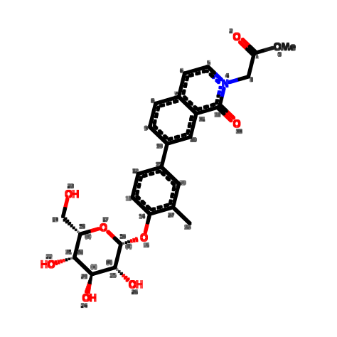 COC(=O)Cn1ccc2ccc(-c3ccc(O[C@H]4O[C@@H](CO)[C@@H](O)[C@H](O)[C@H]4O)c(C)c3)cc2c1=O